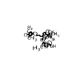 Cc1cc(OCCCc2c3n(c4c(-c5c(C)nn(C)c5C)c(Cl)ccc24)[C@H](C)CN(c2cn(C)c4ncc(C(=O)O)nc24)C3=O)cc(C)c1Cl